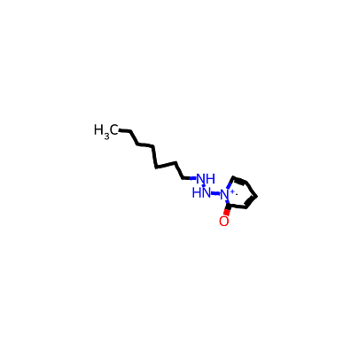 CCCCCCCNN[N+]1C=CC=CC1=O